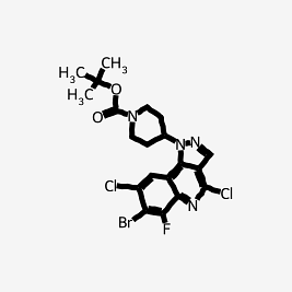 CC(C)(C)OC(=O)N1CCC(n2ncc3c(Cl)nc4c(F)c(Br)c(Cl)cc4c32)CC1